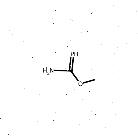 COC(N)=P